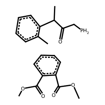 COC(=O)c1ccccc1C(=O)OC.Cc1ccccc1C(C)C(=O)CP